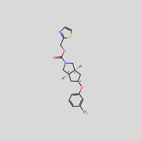 O=C(OCc1nccs1)N1C[C@H]2C[C@@H](Oc3cccc(C(F)(F)F)c3)C[C@H]2C1